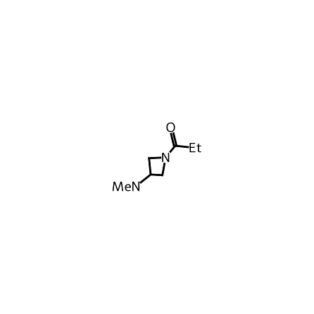 CCC(=O)N1CC(NC)C1